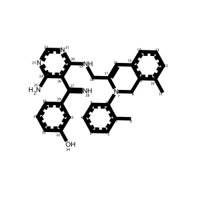 Cc1ccccc1N1Cc2c(C)cccc2C=C1CNc1ncnc(N)c1C(=N)c1cccc(O)c1